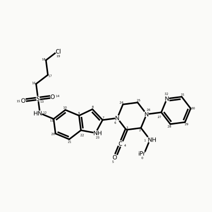 CC(C)NC1C(=C=O)N(c2cc3cc(NS(=O)(=O)CCCCl)ccc3[nH]2)CCN1c1ccccn1